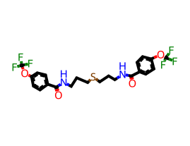 O=C(NCCCSCCCNC(=O)c1ccc(OC(F)(F)F)cc1)c1ccc(OC(F)(F)F)cc1